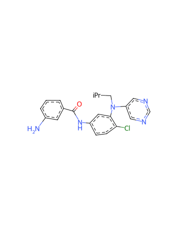 CC(C)CN(c1cncnc1)c1cc(NC(=O)c2cccc(N)c2)ccc1Cl